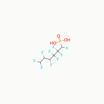 O=P(O)(O)C(F)C(F)(F)C(F)(F)C(F)C(F)C(F)F